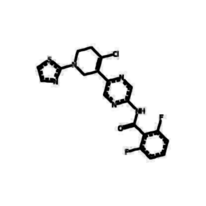 O=C(Nc1cnc(C2=C(Cl)CCN(c3nccs3)C2)cn1)c1c(F)cccc1F